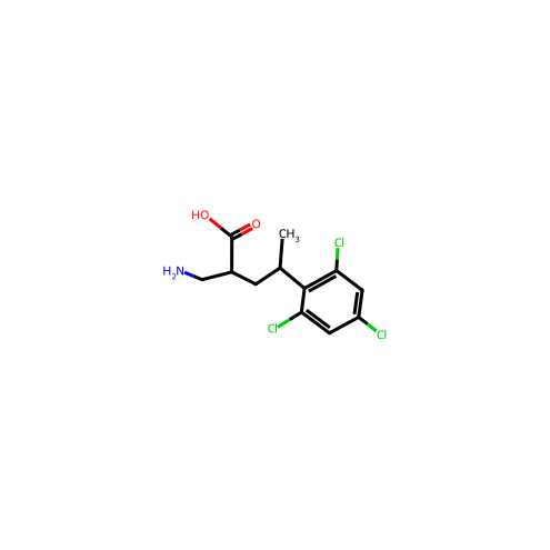 CC(CC(CN)C(=O)O)c1c(Cl)cc(Cl)cc1Cl